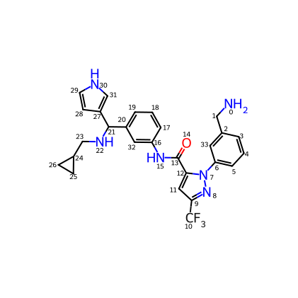 NCc1cccc(-n2nc(C(F)(F)F)cc2C(=O)Nc2cccc(C(NCC3CC3)c3cc[nH]c3)c2)c1